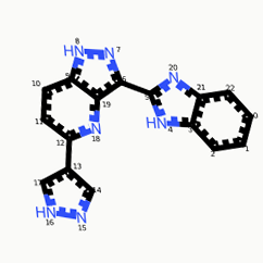 c1ccc2[nH]c(-c3n[nH]c4ccc(-c5cn[nH]c5)nc34)nc2c1